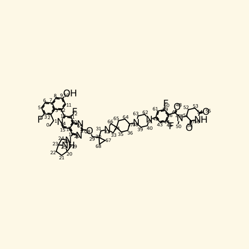 CCc1c(F)ccc2cc(O)cc(-c3ncc4c(N5CC6CCC(C5)N6)nc(OCC5(CN6CC7(CCC(N8CCN(c9cc(F)c(C(=O)N(C)C%10CCC(=O)NC%10=O)c(F)c9)CC8)CC7)C6)CC5)nc4c3F)c12